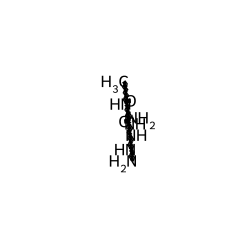 CCCCCCCC(=O)NCCCC[C@@H](N)C(=O)NCCCNCCCCNCCCN